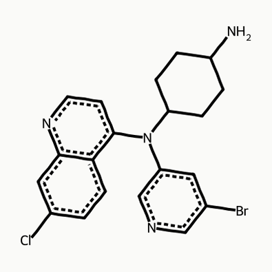 NC1CCC(N(c2cncc(Br)c2)c2ccnc3cc(Cl)ccc23)CC1